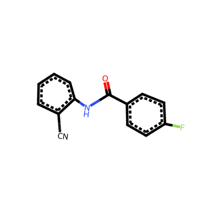 N#Cc1ccccc1NC(=O)c1ccc(F)cc1